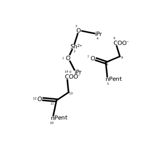 CC(C)[O][Sn+2][O]C(C)C.CCCCCC(=O)CC(=O)[O-].CCCCCC(=O)CC(=O)[O-]